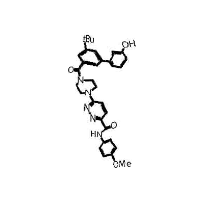 COc1ccc(NC(=O)c2ccc(N3CCN(C(=O)c4cc(-c5cccc(O)c5)cc(C(C)(C)C)c4)CC3)nn2)cc1